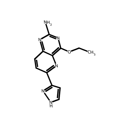 CCOc1nc(N)nc2ccc(-c3cc[nH]n3)nc12